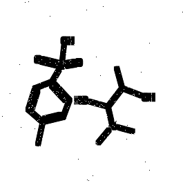 CC(O)C(O)N(C)C.Cc1ccc(S(=O)(=O)O)cc1